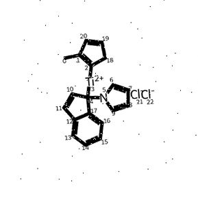 CC1=[C]([Ti+2][C]2(n3cccc3)C=Cc3ccccc32)CC=C1.[Cl-].[Cl-]